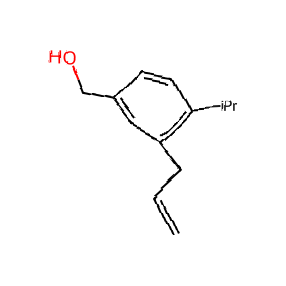 C=CCc1cc(CO)ccc1C(C)C